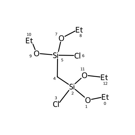 CCO[Si](Cl)(C[Si](Cl)(OCC)OCC)OCC